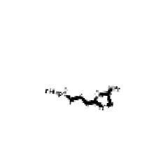 CCCCCCCCCCC1OCC(C(C)C)O1